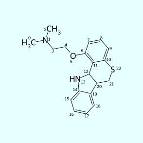 CN(C)CCOc1cccc2c1C1Nc3ccccc3C1CS2